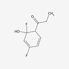 CCC(=O)C1C=CC(F)=CC1(O)F